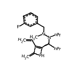 C=CC1=C(C(CCC)N(CCC)N(C)Cc2cccc(F)c2)PC1=C